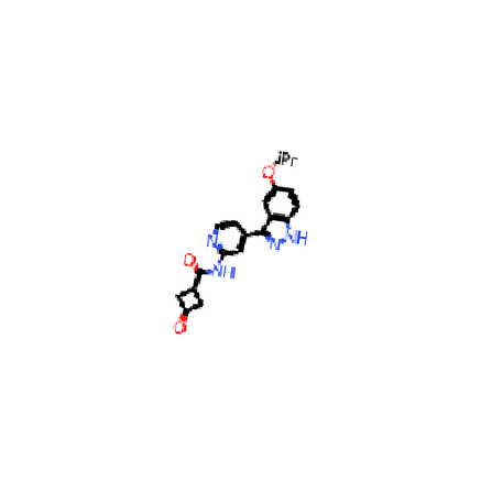 CC(C)Oc1ccc2[nH]nc(-c3ccnc(NC(=O)C4CC(=O)C4)c3)c2c1